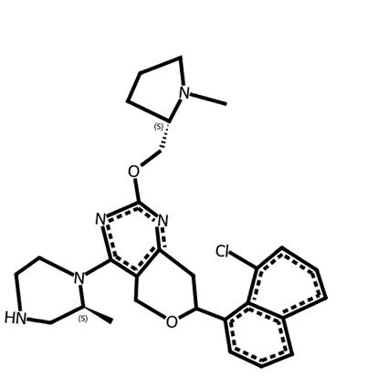 C[C@H]1CNCCN1c1nc(OC[C@@H]2CCCN2C)nc2c1COC(c1cccc3cccc(Cl)c13)C2